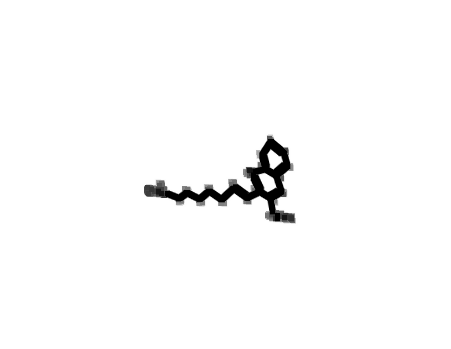 CCCCCCc1cc2ccccc2nc1/C=C/CCCCCC=O